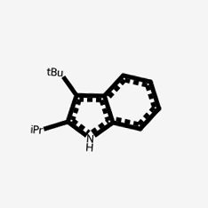 CC(C)c1[nH]c2ccccc2c1C(C)(C)C